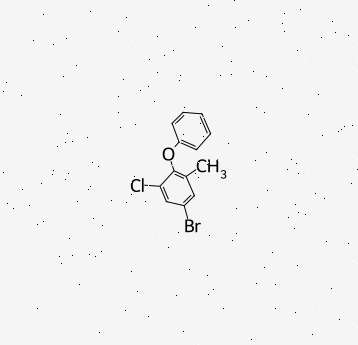 Cc1cc(Br)cc(Cl)c1Oc1ccccc1